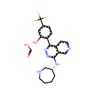 O=CO.Oc1cc(C(F)(F)F)ccc1-c1nnc(N[C@@H]2CCCCNC2)c2cnccc12